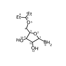 BC1OC(COC(CC)CC)C(O)C1O